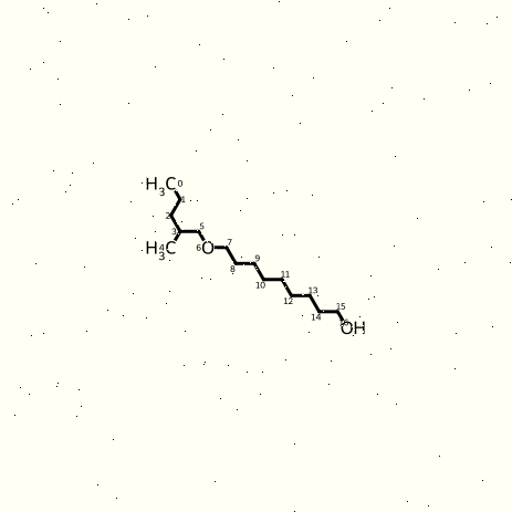 CCCC(C)COCCCCCCCCCO